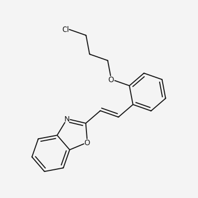 ClCCCOc1ccccc1/C=C/c1nc2ccccc2o1